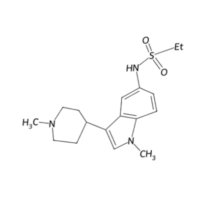 CCS(=O)(=O)Nc1ccc2c(c1)c(C1CCN(C)CC1)cn2C